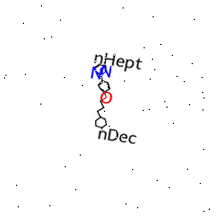 CCCCCCCCCCC1CCC(CCCOc2ccc(-c3ncc(CCCCCCC)cn3)cc2)CC1